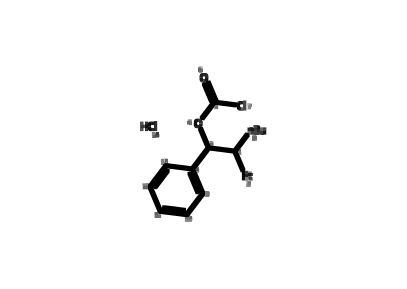 CCCCC(CC)C(OC(=O)Cl)c1ccccc1.Cl